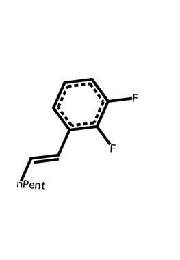 CCCCCC=Cc1cccc(F)c1F